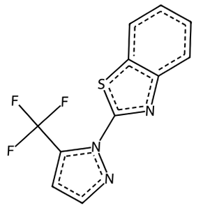 FC(F)(F)c1ccnn1-c1nc2ccccc2s1